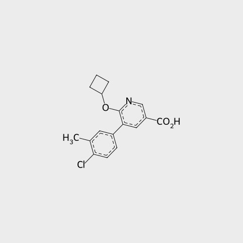 Cc1cc(-c2cc(C(=O)O)cnc2OC2CCC2)ccc1Cl